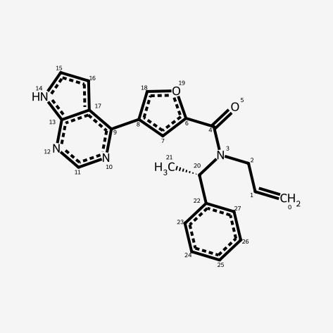 C=CCN(C(=O)c1cc(-c2ncnc3[nH]ccc23)co1)[C@@H](C)c1ccccc1